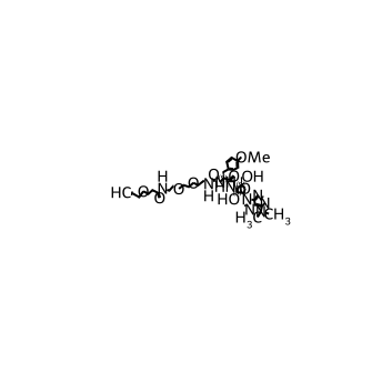 C#CCOCCC(=O)NCCOCCOCCNC(=O)N[C@@H](Cc1ccc(OC)cc1)C(=O)N[C@@H]1[C@@H](CO)OC(n2cnc3c(N(C)C)ncnc32)[C@@H]1O